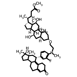 COC(=O)CC[C@@H](C)[C@H]1CC[C@H]2[C@@H]3[C@H](O)C[C@@H]4C[C@@H](OCCN(C)c5ccc([C@H]6C[C@@]7(C)C(CC[C@]7(C)O)C7CCC8=CC(=O)CCC8=C76)cc5F)CC[C@]4(C)[C@H]3C[C@H](O)[C@]12C